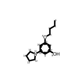 CCCCOc1cc(O)cc(N2CCCC2)c1